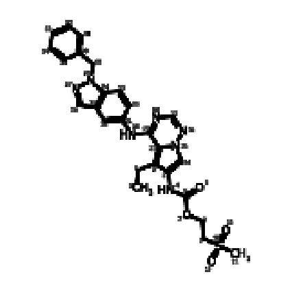 CCc1c(NC(=O)OCCS(C)(=O)=O)cn2ncnc(Nc3ccc4c(cnn4Cc4ccccc4)c3)c12